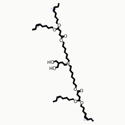 CC/C=C\CCCCOC(CCC(=O)OCCCCCCCN(CCCCCCCOC(=O)CCC(OCCCC/C=C\CC)OCCCC/C=C\CC)CCC(CO)CO)OCCCC/C=C\CC